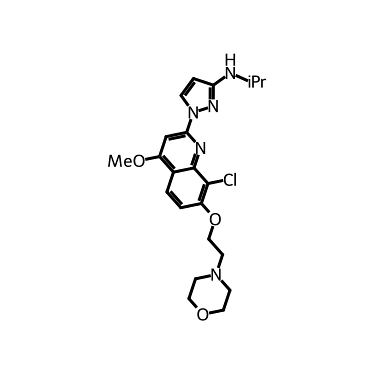 COc1cc(-n2ccc(NC(C)C)n2)nc2c(Cl)c(OCCN3CCOCC3)ccc12